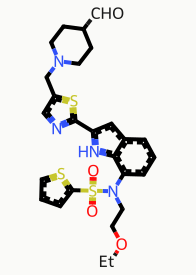 CCOCCN(c1cccc2cc(-c3ncc(CN4CCC(C=O)CC4)s3)[nH]c12)S(=O)(=O)c1cccs1